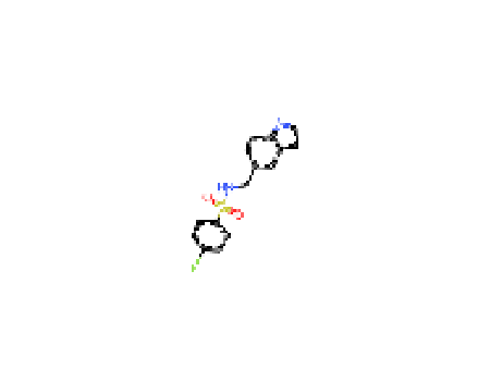 O=S(=O)(NCc1ccc2[nH]ccc2c1)c1ccc(F)cc1